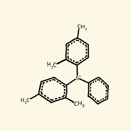 Cc1ccc([S+](c2ccccc2)c2ccc(C)cc2C)c(C)c1